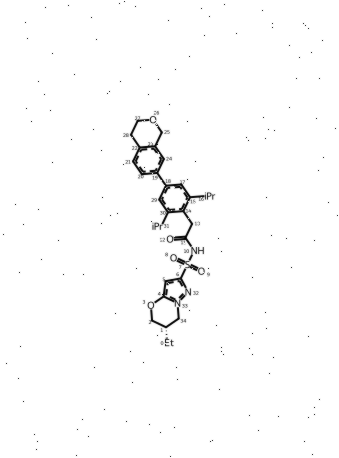 CC[C@@H]1COc2cc(S(=O)(=O)NC(=O)Cc3c(C(C)C)cc(-c4ccc5c(c4)COCC5)cc3C(C)C)nn2C1